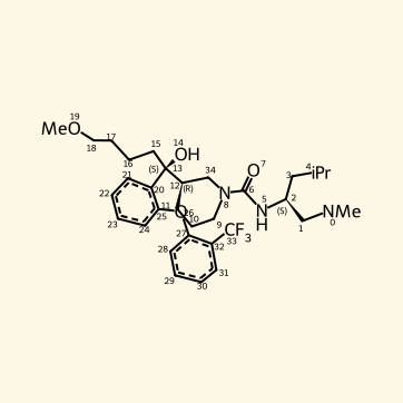 CNC[C@H](CC(C)C)NC(=O)N1CCC[C@@H]([C@@](O)(CCCCOC)c2ccccc2Oc2ccccc2C(F)(F)F)C1